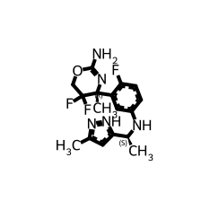 Cc1cc([C@H](C)Nc2ccc(F)c([C@@]3(C)N=C(N)OCC3(F)F)c2)[nH]n1